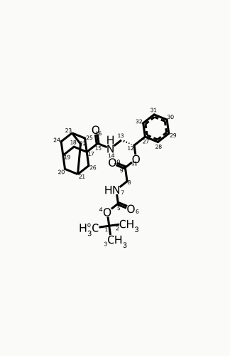 CC(C)(C)OC(=O)NCC(=O)O[C@H](CNC(=O)C12CC3CC(CC(C3)C1)C2)c1ccccc1